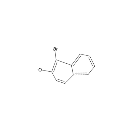 [O]c1ccc2ccccc2c1Br